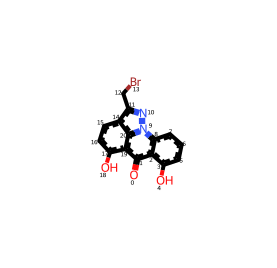 O=c1c2c(O)cccc2n2nc(CBr)c3ccc(O)c1c32